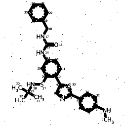 CNc1ccc(-c2ncc(-c3ccc(NC(=O)NCc4ccccc4)cc3SNC(C)(C)C)s2)cc1